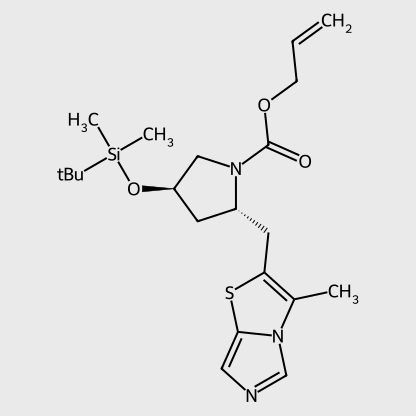 C=CCOC(=O)N1C[C@H](O[Si](C)(C)C(C)(C)C)C[C@H]1Cc1sc2cncn2c1C